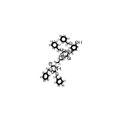 O=C(N[C@@H](Cc1ccc(O)c(OCc2ccccc2)c1)C(=O)NCCCC[C@H](NC(=O)OCc1ccccc1)C(=O)OCc1ccccc1)OCc1ccccc1